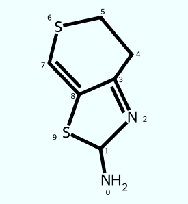 NC1N=C2CCSC=C2S1